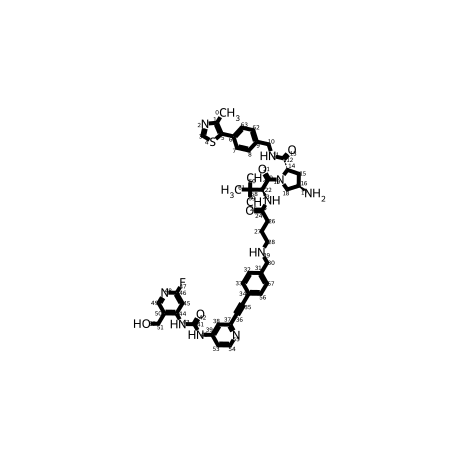 Cc1ncsc1-c1ccc(CNC(=O)[C@@H]2C[C@@H](N)CN2C(=O)[C@@H](NC(=O)CCCNCc2ccc(C#Cc3cc(NC(=O)Nc4cc(F)ncc4CO)ccn3)cc2)C(C)(C)C)cc1